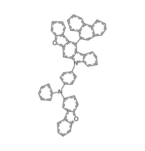 c1ccc(N(c2ccc(-n3c4ccccc4c4c(-c5cc6ccccc6c6ccccc56)c5c(cc43)oc3ccccc35)cc2)c2ccc3oc4ccccc4c3c2)cc1